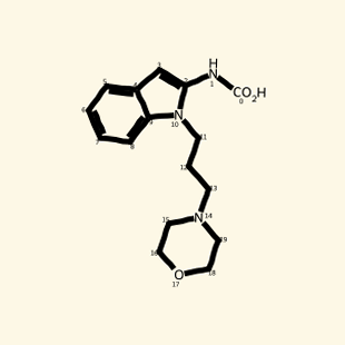 O=C(O)Nc1cc2ccccc2n1CCCN1CCOCC1